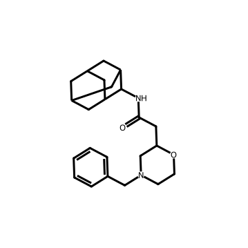 O=C(CC1CN(Cc2ccccc2)CCO1)NC1C2CC3CC(C2)CC1C3